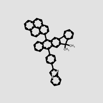 CC1(C)c2ccccc2-c2cc3c(-c4ccc5ccc6cccc7ccc4c5c67)c4ccccc4c(-c4ccc(-c5cn6ccccc6n5)cc4)c3cc21